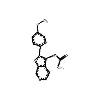 COc1ccc(-c2sc3cnccc3c2OC(C)=O)cc1